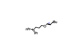 CCCN(CCCO/C=C/C(C)CC)C(C)C